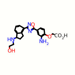 Nc1cc(-c2nc(-c3cccc4c3CCC4NCCO)no2)ccc1OCC(=O)O